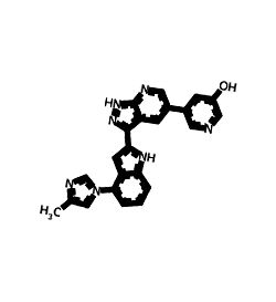 Cc1cn(-c2cccc3[nH]c(-c4n[nH]c5ncc(-c6cncc(O)c6)cc45)cc23)cn1